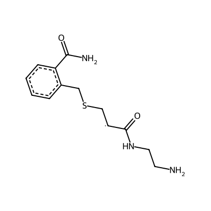 NCCNC(=O)[CH]CSCc1ccccc1C(N)=O